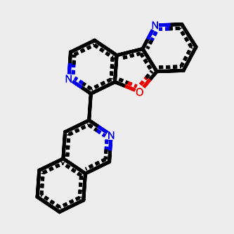 c1ccc2cc(-c3nccc4c3oc3cccnc34)ncc2c1